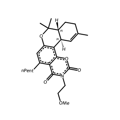 CCCCCc1cc2c(c3oc(=O)n(CCOC)c(=O)c13)[C@@H]1C=C(C)CC[C@H]1C(C)(C)O2